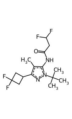 Cc1c(C2CC(F)(F)C2)nn(C(C)(C)C)c1NC(=O)CC(F)F